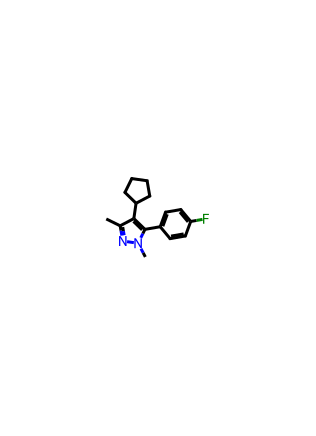 Cc1nn(C)c(-c2ccc(F)cc2)c1C1CCCC1